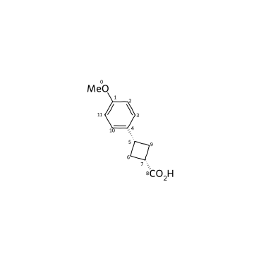 COc1ccc([C@H]2C[C@@H](C(=O)O)C2)cc1